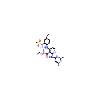 CCONC(=O)c1c(Nc2ccc(CC)cc2NS(C)(=O)=O)ccnc1Nc1cc(C)nc(C)n1